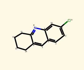 Clc1ccc2[c]c3c(nc2c1)CCCC3